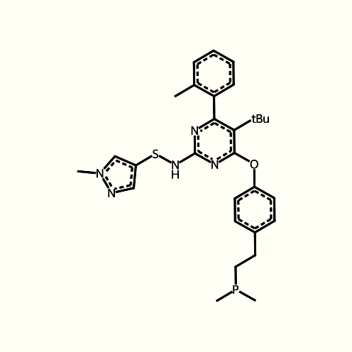 Cc1ccccc1-c1nc(NSc2cnn(C)c2)nc(Oc2ccc(CCP(C)C)cc2)c1C(C)(C)C